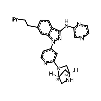 CC(C)CCc1ccc2c(Nc3cnccn3)nn(-c3ccnc(N4C[C@@H]5C[C@H]4CN5)c3)c2c1